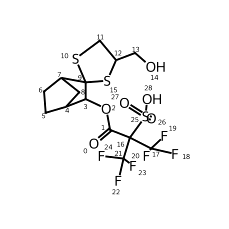 O=C(OC1C2CCC(C2)C12SCC(CO)S2)C(C(F)(F)F)(C(F)(F)F)S(=O)(=O)O